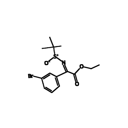 CCOC(=O)/C(=N/[S+]([O-])C(C)(C)C)c1cccc(Br)c1